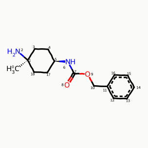 C[C@]1(N)CC[C@@H](NC(=O)OCc2ccccc2)CC1